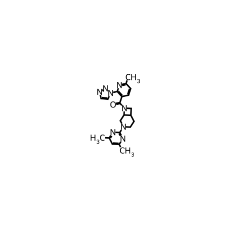 Cc1cc(C)nc(N2CCC3CN(C(=O)c4ccc(C)nc4-n4ccnn4)C3C2)n1